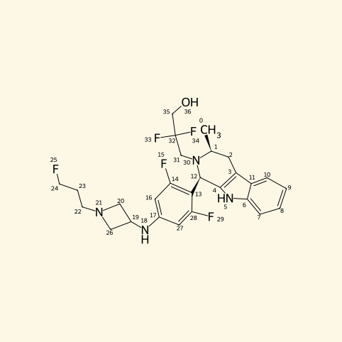 C[C@H]1Cc2c([nH]c3ccccc23)[C@@H](c2c(F)cc(NC3CN(CCCF)C3)cc2F)N1CC(F)(F)CO